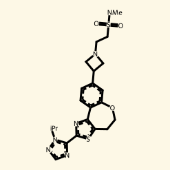 CNS(=O)(=O)CCN1CC(c2ccc3c(c2)OCCc2sc(-c4ncnn4C(C)C)nc2-3)C1